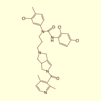 Cc1ccc(N(CCCN2CC3=CN(C(=O)c4c(C)ccnc4C)CC3C2)C(=O)Nc2ccc(Cl)cc2Cl)cc1Cl